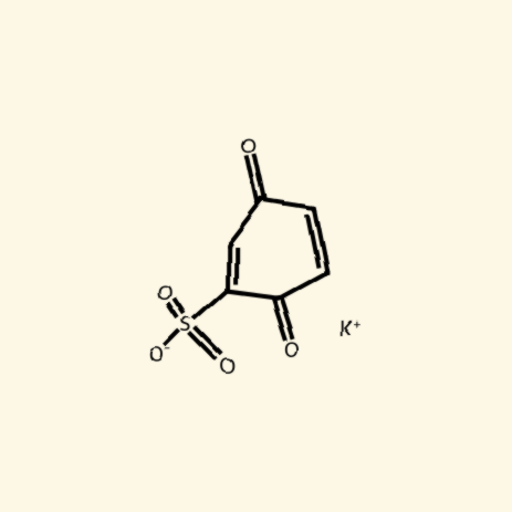 O=C1C=CC(=O)C(S(=O)(=O)[O-])=C1.[K+]